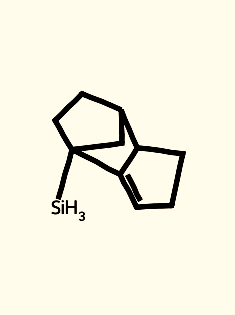 [SiH3]C12CCC(C1)C1CCC=C12